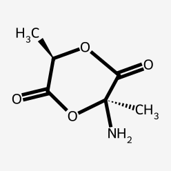 C[C@H]1OC(=O)[C@@](C)(N)OC1=O